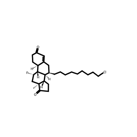 C[C@]12C[C@H](F)[C@H]3[C@@H]([C@H](CCCCCCCCCCl)CC4=CC(=O)CC[C@@H]43)[C@@H]1CCC2=O